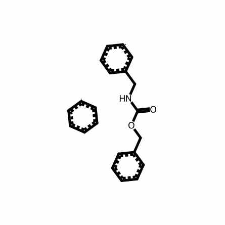 O=C(NCc1c[c]ccc1)OCc1ccccc1.[c]1ccccc1